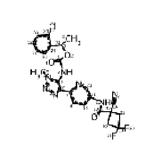 C[C@@H](OC(=O)Nc1c(-c2ccc(NC(=O)C3(C#N)CC(F)(F)C3)cn2)nnn1C)c1ccccc1Cl